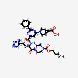 CCCCOC(=O)N1CCN(C(=O)[C@H](CCc2nnn[nH]2)NC(=O)c2cc(N3CC4C(C3)C4C(=O)O)nc(-c3ccccc3)n2)CC1